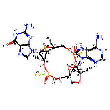 Nc1nc2c(ncn2[C@@H]2O[C@@H]3CO[P@@](=O)(S)O[C@H]4[C@H]5OC[C@]4(CO[P@](=O)(S)O[C@@H]2[C@@H]3F)O[C@H]5n2cnc3c(N)ncnc32)c(=O)[nH]1